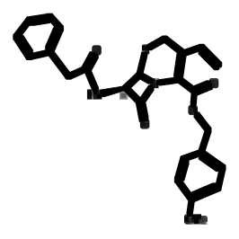 C=CC1=C(C(=O)OCc2ccc(OC)cc2)N2C(=O)[C@@H](NC(=O)Cc3ccccc3)C2SC1